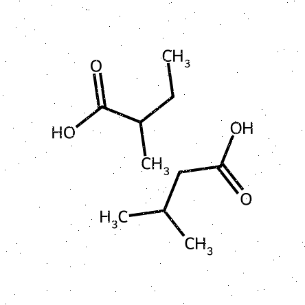 CC(C)CC(=O)O.CCC(C)C(=O)O